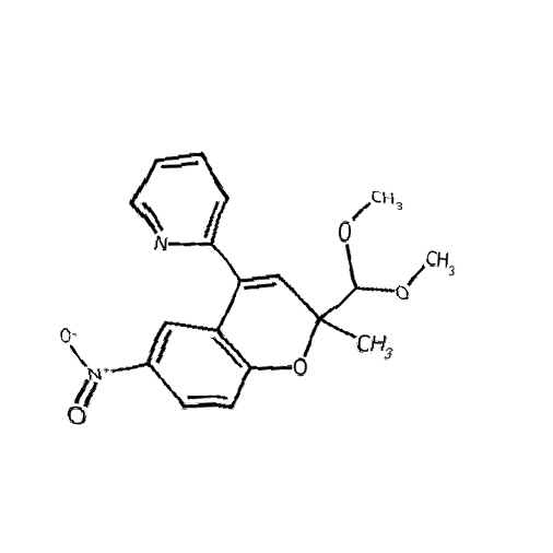 COC(OC)C1(C)C=C(c2ccccn2)c2cc([N+](=O)[O-])ccc2O1